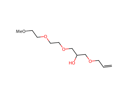 C=CCOCC(O)COCCOCCOC